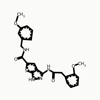 COc1cccc(CNC(=O)c2cc3c(NC(=O)Cc4ccccc4OC)n[nH]c3s2)c1